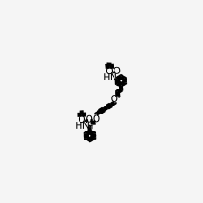 CC(C)(C)OC(=O)Nc1cccc(CCCOCC#CC#CCOCC[C@@H](NC(=O)OC(C)(C)C)c2ccccc2)c1